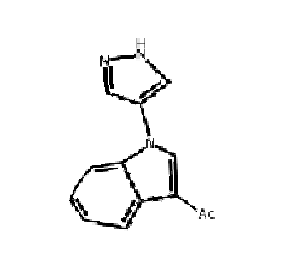 CC(=O)c1cn(-c2cn[nH]c2)c2ccccc12